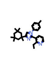 CCc1ncccc1-c1nc(C2(C)CC(C)(C)CC(C)(C)C2)cn1-c1ccc(C)cc1